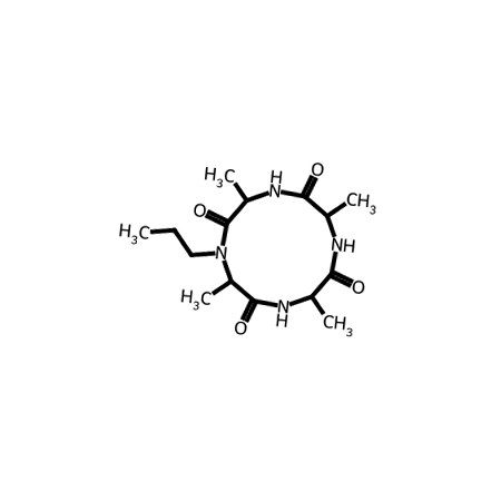 CCCN1C(=O)C(C)NC(=O)C(C)NC(=O)C(C)NC(=O)C1C